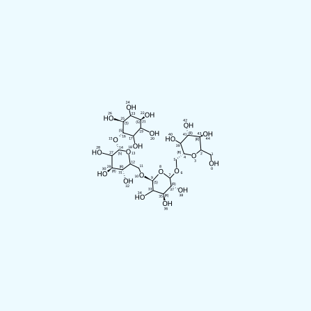 OCC1O[C@H](COC2O[C@H](OCC3O[C@@H](O[C@H]4C(O)C(O)[C@H](O)C(O)[C@@H]4O)C(O)[C@H](O)[C@H]3O)C(O)[C@H](O)[C@H]2O)C(O)[C@H](O)[C@H]1O